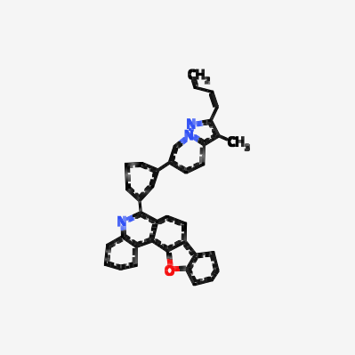 C=C/C=C\c1nn2cc(-c3cccc(-c4nc5ccccc5c5c4ccc4c6ccccc6oc45)c3)ccc2c1C